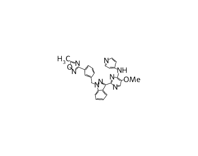 COc1cnc(-c2nn(Cc3cccc(-c4noc(C)n4)c3)c3ccccc23)nc1Nc1ccncc1